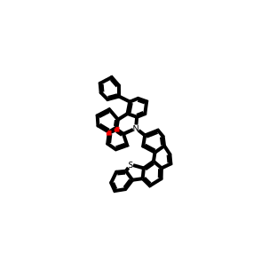 c1ccc(-c2cccc(N(c3ccccc3)c3ccc4ccc5ccc6c7ccccc7sc6c5c4c3)c2-c2ccccc2)cc1